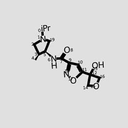 CC(C)N1C[C@H](C)[C@H](NC(=O)c2cc(C3(O)COC3)on2)C1